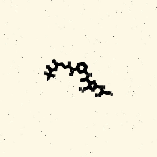 Cc1nc(NC(=N)N)sc1C(=O)Nc1cccc(C(=O)NCCC(=O)OC(=O)C(F)(F)F)c1